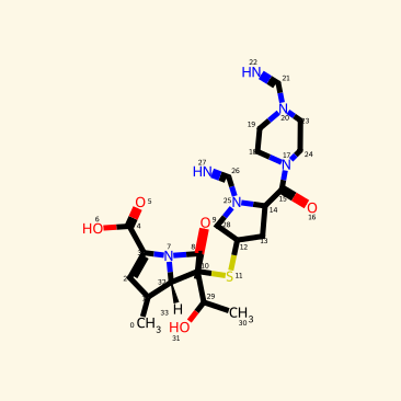 CC1C=C(C(=O)O)N2C(=O)C(SC3CC(C(=O)N4CCN(C=N)CC4)N(C=N)C3)(C(C)O)[C@H]12